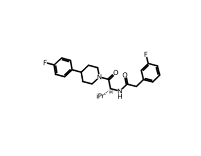 CC(C)[C@@H](NC(=O)Cc1cccc(F)c1)C(=O)N1CCC(c2ccc(F)cc2)CC1